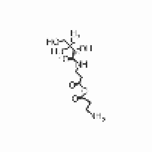 CC(C)(CO)[C@@H](O)C(=O)NCCC(=O)OC(=O)CCN